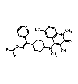 CN(c1c(C#N)c(=O)n(C)c2ccc(C#N)nc12)C1CCC(C(=NOC(F)F)c2cnccn2)CC1